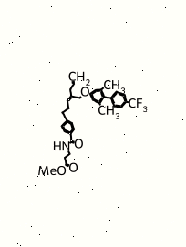 C=CCC(=CCCc1ccc(C(=O)NCCC(=O)OC)cc1)COc1cc(C)c(-c2ccc(C(F)(F)F)cc2)c(C)c1